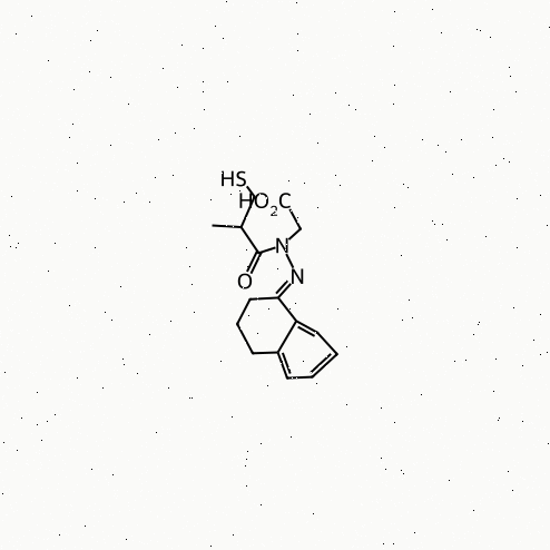 CC(CS)C(=O)N(CC(=O)O)N=C1CCCc2ccccc21